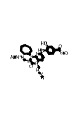 [N-]=[N+]=NC[C@@H]1C(=O)N(CN=[N+]=[N-])c2ccc(Nc3ccc(C(=O)N=O)cc3O)nc2N1C1CCCCCC1